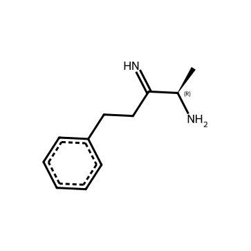 C[C@@H](N)C(=N)CCc1ccccc1